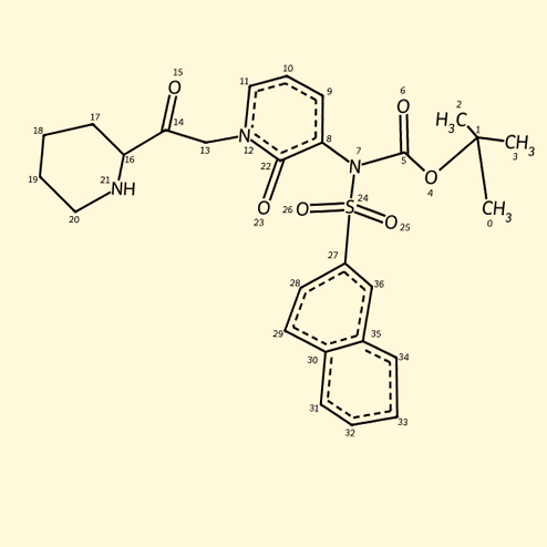 CC(C)(C)OC(=O)N(c1cccn(CC(=O)C2CCCCN2)c1=O)S(=O)(=O)c1ccc2ccccc2c1